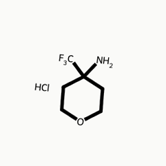 Cl.NC1(C(F)(F)F)CCOCC1